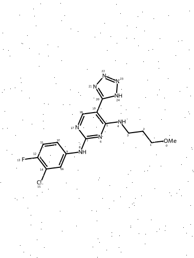 COCCCNc1nc(Nc2ccc(F)c(Cl)c2)ncc1-c1nnn[nH]1